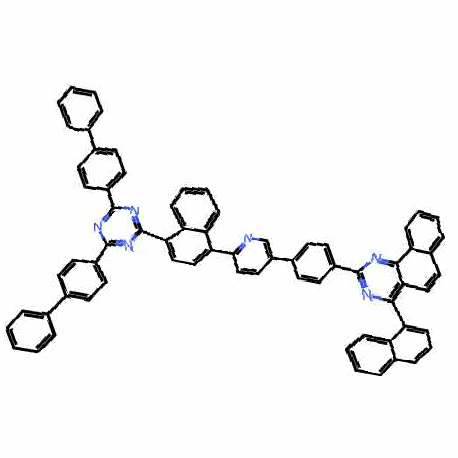 c1ccc(-c2ccc(-c3nc(-c4ccc(-c5ccccc5)cc4)nc(-c4ccc(-c5ccc(-c6ccc(-c7nc(-c8cccc9ccccc89)c8ccc9ccccc9c8n7)cc6)cn5)c5ccccc45)n3)cc2)cc1